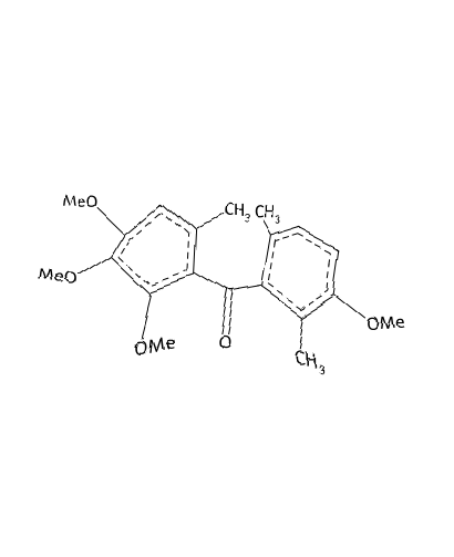 COc1ccc(C)c(C(=O)c2c(C)cc(OC)c(OC)c2OC)c1C